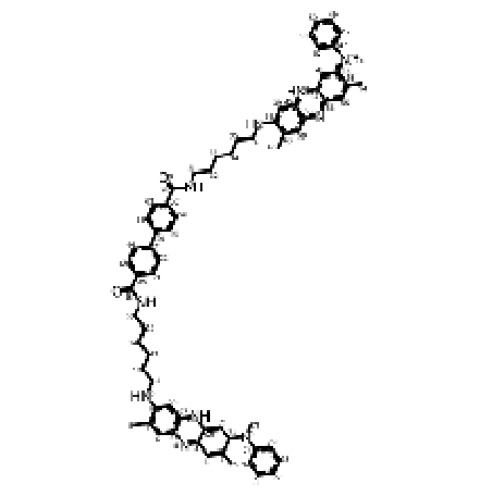 CC1=CC2=Nc3cc(C)c(NCCCCCCNC(=O)c4ccc(-c5ccc(C(=O)NCCCCCCNc6cc7[nH]c8c/c(=[N+](/C)c9ccccc9)c(C)cc-8nc7cc6C)cc5)cc4)cc3NC2=CC1N(C)c1ccccc1